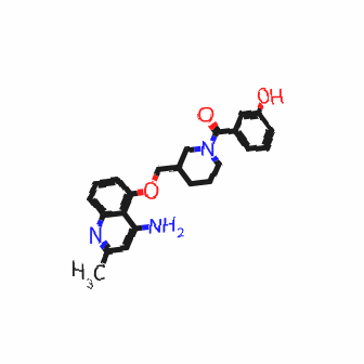 Cc1cc(N)c2c(OCC3CCCN(C(=O)c4cccc(O)c4)C3)cccc2n1